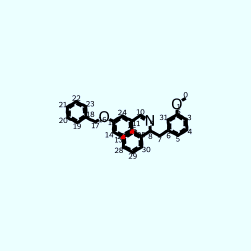 COc1cccc(CC(/N=C\c2cccc(OCc3ccccc3)c2)c2ccccc2)c1